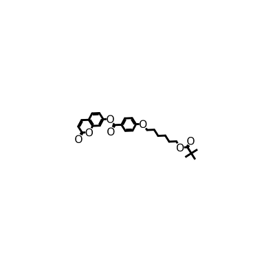 CC(C)(C)C(=O)OCCCCCCOc1ccc(C(=O)Oc2ccc3ccc(=O)oc3c2)cc1